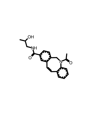 CC(=O)N1Cc2ccc(C(=O)NCC(C)O)cc2/C=C\c2ccccc21